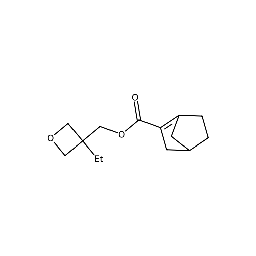 CCC1(COC(=O)C2=C3CCC(C3)C2)COC1